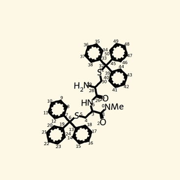 CNC(=O)C(CSC(c1ccccc1)(c1ccccc1)c1ccccc1)NC(=O)C(N)CSC(c1ccccc1)(c1ccccc1)c1ccccc1